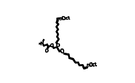 CCCCCCCC/C=C\CCCCCCCCOCC(COC(=O)CCN(C)C)OCCCCCCCC/C=C\CCCCCCCC